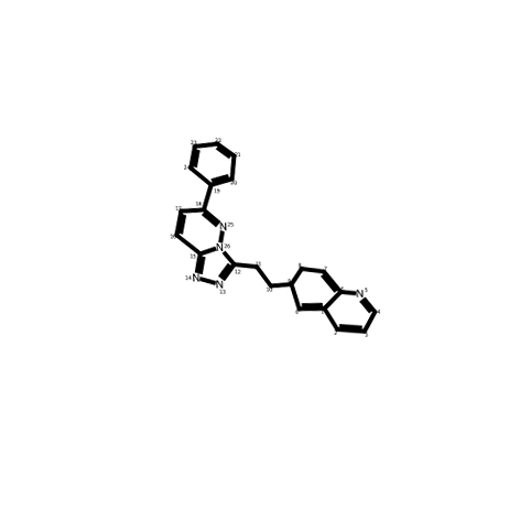 C1=c2cccnc2=CCC1CCc1nnc2ccc(-c3ccccc3)nn12